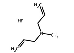 C=CCN(C)CC=C.F